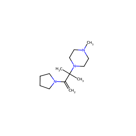 C=C(N1CCCC1)C(C)(C)N1CCN(C)CC1